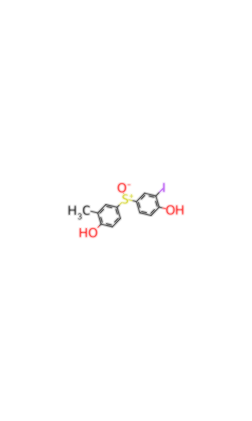 Cc1cc([S+]([O-])c2ccc(O)c(I)c2)ccc1O